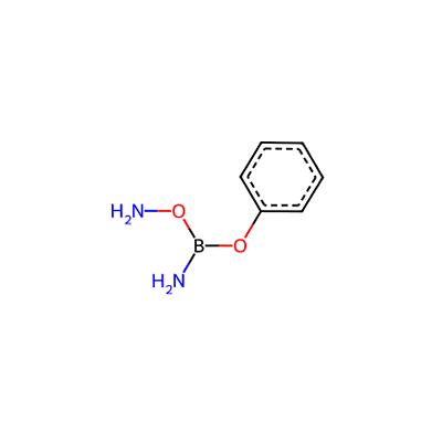 NOB(N)Oc1ccccc1